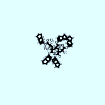 CCC(C)(CC(C)(CC(C)(CC(C)(CC(C)(C)C(=O)OC1CC2CC1C1CCCC21)C(=O)OC1CC2CC1C1CCCC21)C(=O)OC1CC2CC1C1CCCC21)C(=O)OC1CC2CC1C1CCCC21)C(=O)OC1CC2CC1C1CCCC21